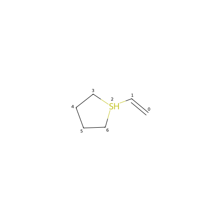 C=C[SH]1CCCC1